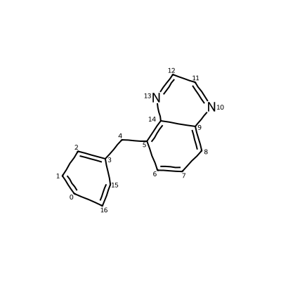 c1ccc(Cc2cccc3nccnc23)cc1